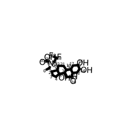 CC([C@H]1CC[C@@]2(O)C3=CC(=O)[C@@H]4C[C@@H](O)[C@@H](O)C[C@]4(C)C3CC[C@]12C)N(CC(F)F)C(=O)O